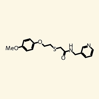 COc1ccc(OCCSCC(=O)NCc2cccnc2)cc1